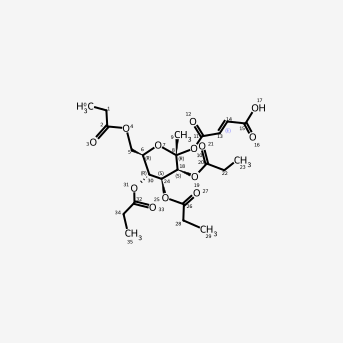 CCC(=O)OC[C@H]1O[C@](C)(OC(=O)/C=C/C(=O)O)[C@@H](OC(=O)CC)[C@@H](OC(=O)CC)[C@@H]1OC(=O)CC